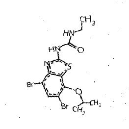 CCNC(=O)Nc1nc2c(Br)cc(Br)c(OC(C)C)c2s1